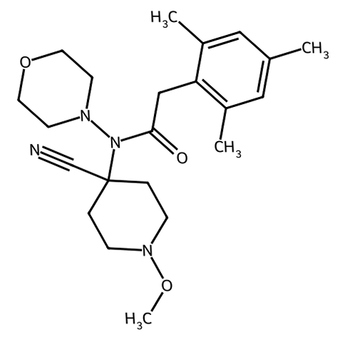 CON1CCC(C#N)(N(C(=O)Cc2c(C)cc(C)cc2C)N2CCOCC2)CC1